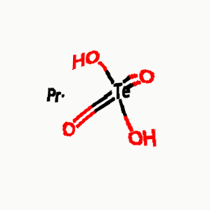 O=[Te](=O)(O)O.[Pr]